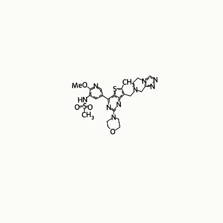 COc1ncc(-c2nc(N3CCOCC3)nc3c(CN4CCn5cnnc5C4)c(C)sc23)cc1NS(C)(=O)=O